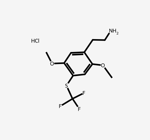 COc1cc(SC(F)(F)F)c(OC)cc1CCN.Cl